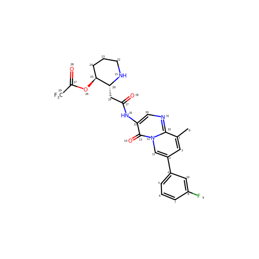 Cc1cc(-c2cccc(F)c2)cn2c(=O)c(NC(=O)C[C@H]3NCCC[C@@H]3OC(=O)C(F)(F)F)cnc12